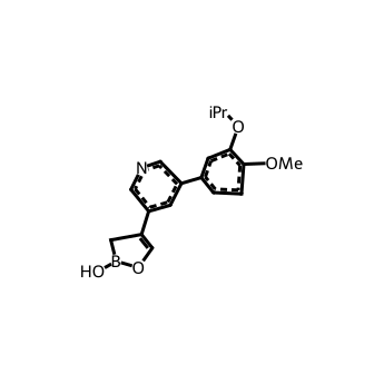 COc1ccc(-c2cncc(C3=COB(O)C3)c2)cc1OC(C)C